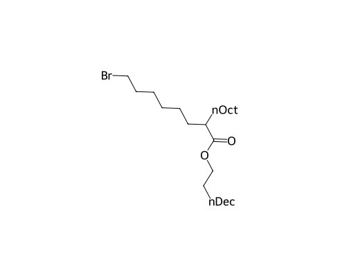 CCCCCCCCCCCCOC(=O)C(CCCCCCBr)CCCCCCCC